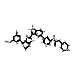 COc1cc(F)cc(-c2nccc3[nH]c(-c4n[nH]c5ccc(-c6cncc(NC(=O)CC7CCNCC7)c6)nc45)nc23)c1